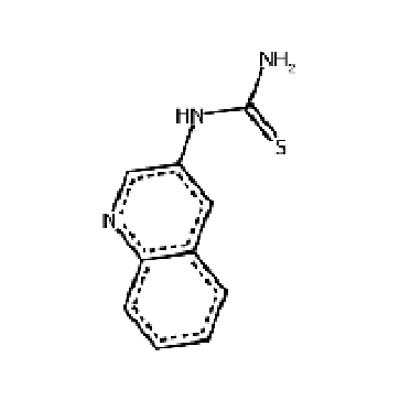 NC(=S)Nc1cnc2ccccc2c1